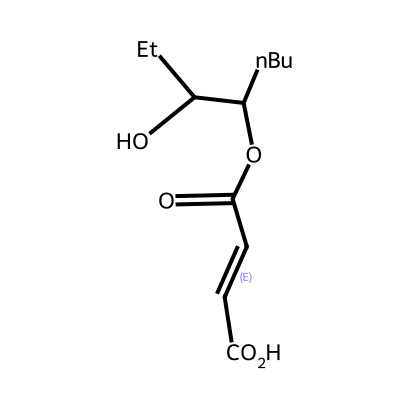 CCCCC(OC(=O)/C=C/C(=O)O)C(O)CC